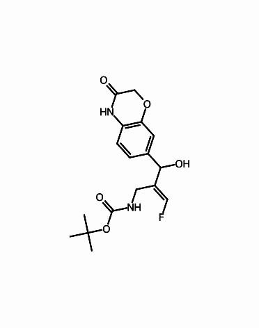 CC(C)(C)OC(=O)NC/C(=C\F)C(O)c1ccc2c(c1)OCC(=O)N2